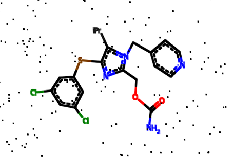 CC(C)c1c(Sc2cc(Cl)cc(Cl)c2)nc(COC(N)=O)n1Cc1ccncc1